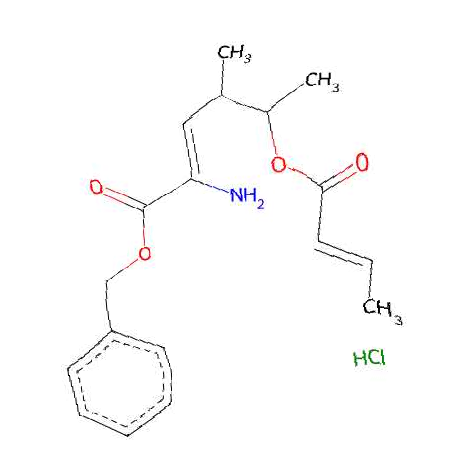 CC=CC(=O)OC(C)C(C)C=C(N)C(=O)OCc1ccccc1.Cl